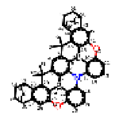 CC1(C)c2cc3c4c5c2B2c6c(cccc6N5c5cccc6c5B4c4c(cc5c(c4C3(C)C)C3CCC5CC3)O6)Oc3cc4c(c1c32)C1CCC4CC1